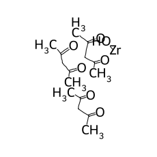 CC(=O)CC(C)=O.CC(=O)CC(C)=O.CC(=O)CC(C)=O.[OH][Zr]